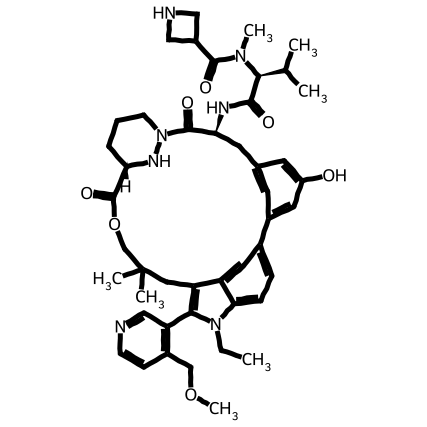 CCn1c(-c2cnccc2COC)c2c3cc(ccc31)-c1cc(O)cc(c1)C[C@H](NC(=O)[C@H](C(C)C)N(C)C(=O)C1CNC1)C(=O)N1CCC[C@H](N1)C(=O)OCC(C)(C)C2